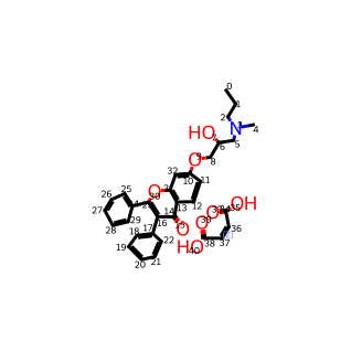 CCCN(C)CC(O)COc1ccc2c(=O)c(-c3ccccc3)c(-c3ccccc3)oc2c1.O=C(O)/C=C\C(=O)O